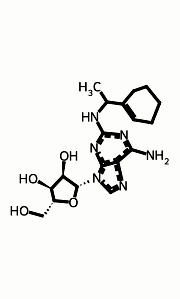 CC(Nc1nc(N)c2ncn([C@@H]3O[C@H](CO)[C@@H](O)[C@H]3O)c2n1)C1=CCCCC1